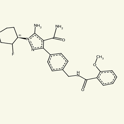 COc1ccccc1C(=O)NCc1ccc(-c2nn([C@@H]3CCOCC3F)c(N)c2C(N)=O)cc1